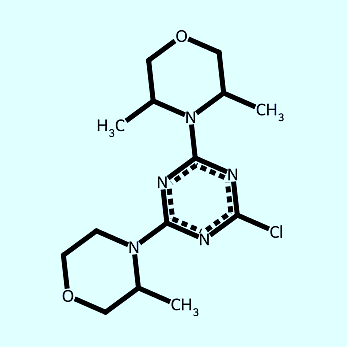 CC1COCCN1c1nc(Cl)nc(N2C(C)COCC2C)n1